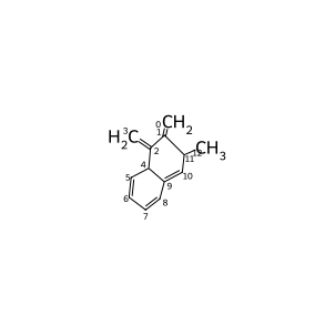 C=C1C(=C)C2C=CC=CC2=CC1C